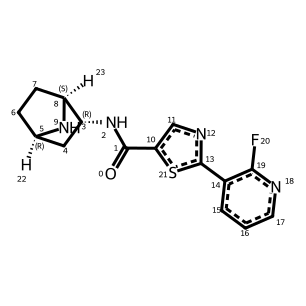 O=C(N[C@@H]1C[C@H]2CC[C@@H]1N2)c1cnc(-c2cccnc2F)s1